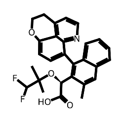 Cc1cc2ccccc2c(-c2ccc3c4c(ccnc24)CCO3)c1[C@H](OC(C)(C)C(F)F)C(=O)O